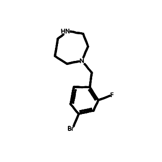 Fc1cc(Br)ccc1CN1CCCNCC1